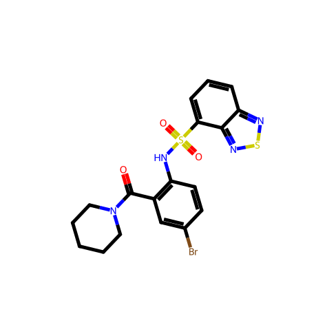 O=C(c1cc(Br)ccc1NS(=O)(=O)c1cccc2nsnc12)N1CCCCC1